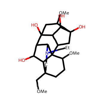 CCN1CC2(COC)CCC(OC)C34C5CC6(O)C(OC)CC(O)(C5C6O)C(C(O)C23)C14